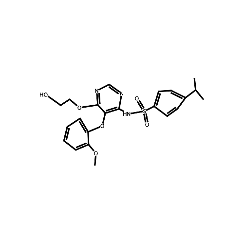 COc1ccccc1Oc1c(NS(=O)(=O)c2ccc(C(C)C)cc2)ncnc1OCCO